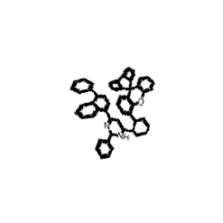 C1=CC(C2=CC(c3ccc(-c4ccccc4)c4ccccc34)=NC(c3ccccc3)N2)C(c2cccc3c2Oc2ccccc2C32c3ccccc3-c3ccccc32)C=C1